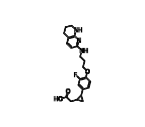 O=C(O)CC1CC1c1ccc(OCCCNc2ccc3c(n2)NCCC3)c(F)c1